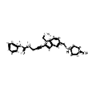 CCn1c(C#CCNC(=O)Nc2ccccc2)cc2cc(CNC3CCN(C)CC3)ccc21